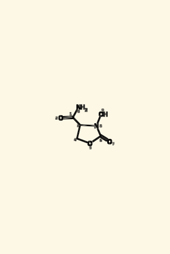 NC(=O)C1COC(=O)N1O